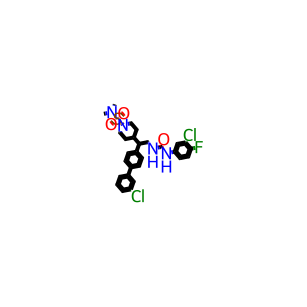 CN(C)S(=O)(=O)N1CCC(C(CNC(=O)Nc2ccc(F)c(Cl)c2)c2ccc(-c3cccc(Cl)c3)cc2)CC1